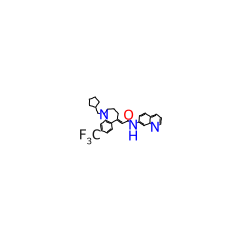 O=C(C=C1CCCN(CC2CCCC2)c2cc(C(F)(F)F)ccc21)Nc1ccc2cccnc2c1